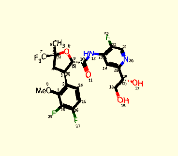 COc1c([C@H]2C[C@@](C)(C(F)(F)F)O[C@@H]2C(=O)Nc2cc([C@H](O)CO)ncc2F)ccc(F)c1F